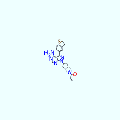 C=CC(=O)N1CC2CC(n3nc(-c4ccc5c(c4)CCS5)c4c(N)ncnc43)CC2C1